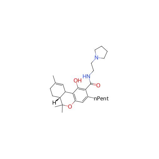 CCCCCc1cc2c(c(O)c1C(=O)NCCN1CCCC1)C1C=C(C)CC[C@H]1C(C)(C)O2